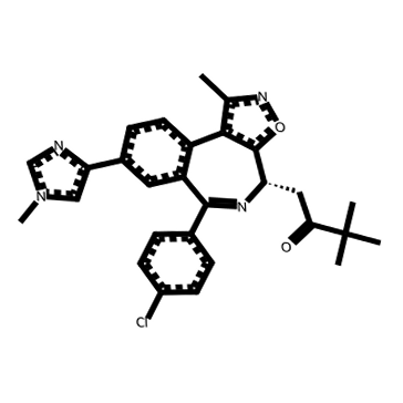 Cc1noc2c1-c1ccc(-c3cn(C)cn3)cc1C(c1ccc(Cl)cc1)=N[C@H]2CC(=O)C(C)(C)C